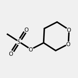 CS(=O)(=O)OC1CCOOC1